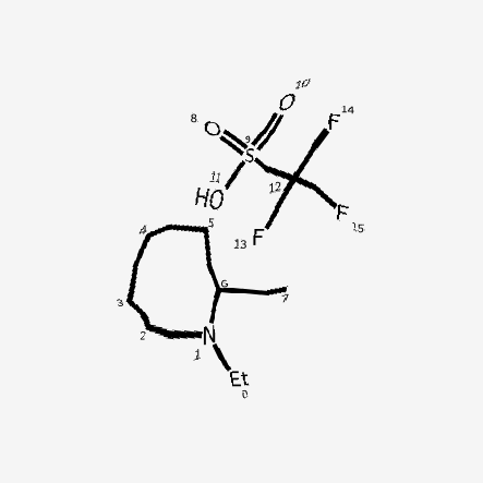 CCN1CCCCC1C.O=S(=O)(O)C(F)(F)F